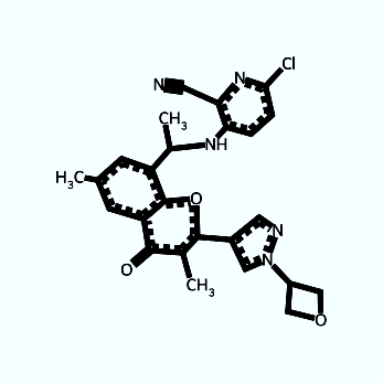 Cc1cc(C(C)Nc2ccc(Cl)nc2C#N)c2oc(-c3cnn(C4COC4)c3)c(C)c(=O)c2c1